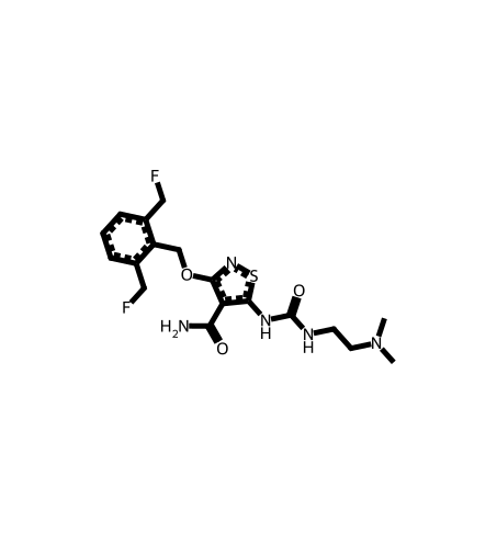 CN(C)CCNC(=O)Nc1snc(OCc2c(CF)cccc2CF)c1C(N)=O